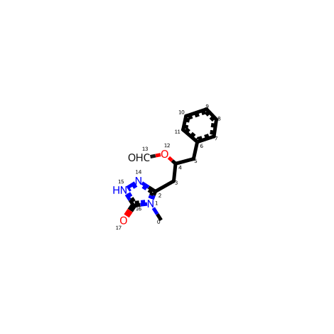 Cn1c(CC(Cc2ccccc2)OC=O)n[nH]c1=O